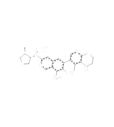 Cc1c(-c2cc3cc(N(C(=O)O)[C@H]4COC[C@H]4C)ncc3c(N)c2C#N)cnc2c1NCCO2